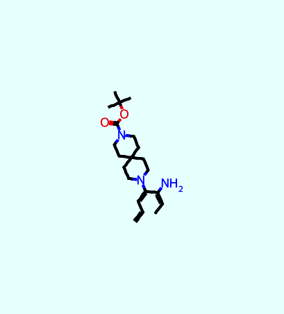 C=C/C=C(\C(N)=C/C)N1CCC2(CCN(C(=O)OC(C)(C)C)CC2)CC1